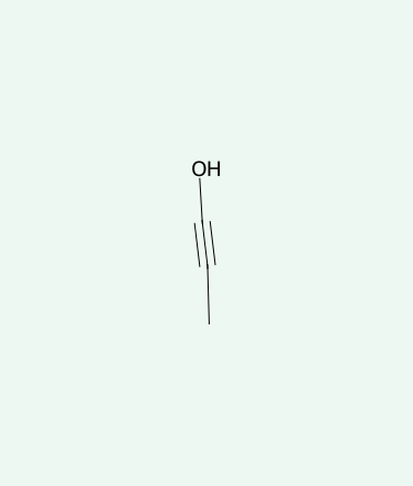 CC#CO